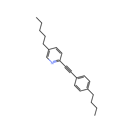 CCCCCc1ccc(C#Cc2ccc(CCCC)cc2)nc1